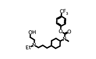 CCN(CCO)CCCC1CCC(N(C)C(=O)Oc2ccc(C(F)(F)F)cc2)CC1